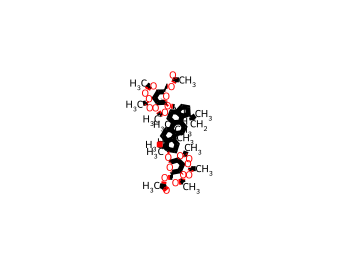 C=C(C)[C@@H]1CC[C@]2(CO[C@@H]3O[C@H](COC(C)=O)[C@@H](OC(C)=O)[C@H](OC(C)=O)[C@H]3OC(C)=O)CC[C@]3(C)[C@H](CCC4[C@@]5(C)CC[C@@H](O[C@@H]6O[C@H](COC(C)=O)[C@@H](OC(C)=O)[C@H](OC(C)=O)[C@H]6OC(C)=O)C(C)(C)[C@@H]5CC[C@]43C)[C@@H]12